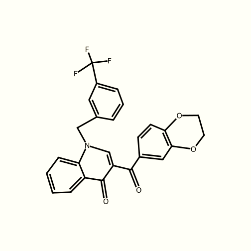 O=C(c1ccc2c(c1)OCCO2)c1cn(Cc2cccc(C(F)(F)F)c2)c2ccccc2c1=O